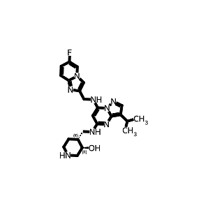 CC(C)c1cnn2c(NCc3cn4cc(F)ccc4n3)cc(NC[C@H]3CCNC[C@@H]3O)nc12